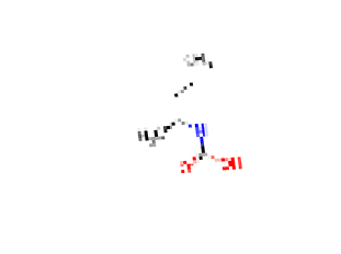 CCC[C@H](C)NC(=O)O